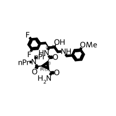 CCCN(CCC)C(=O)[C@@H]1[C@@H](C(N)=O)[C@H]1C(=O)N[C@@H](Cc1cc(F)cc(F)c1)[C@H](O)CNCc1cccc(OC)c1